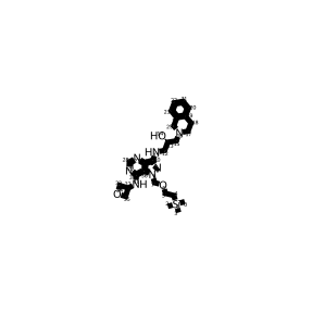 C[Si](C)(C)CCOCn1nc(NC[C@H](O)CN2CCc3ccccc3C2)c2ncnc(NC3COC3)c21